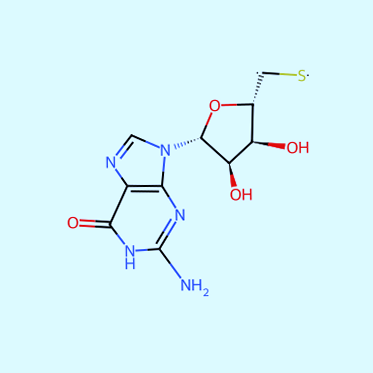 Nc1nc2c(ncn2[C@@H]2O[C@H]([CH][S])[C@@H](O)[C@H]2O)c(=O)[nH]1